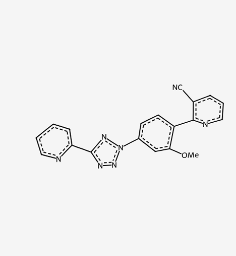 COc1cc(-n2nnc(-c3ccccn3)n2)ccc1-c1ncccc1C#N